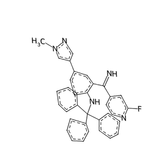 Cn1cc(-c2ccc(NC(c3ccccc3)(c3ccccc3)c3ccccc3)c(C(=N)c3ccnc(F)c3)c2)cn1